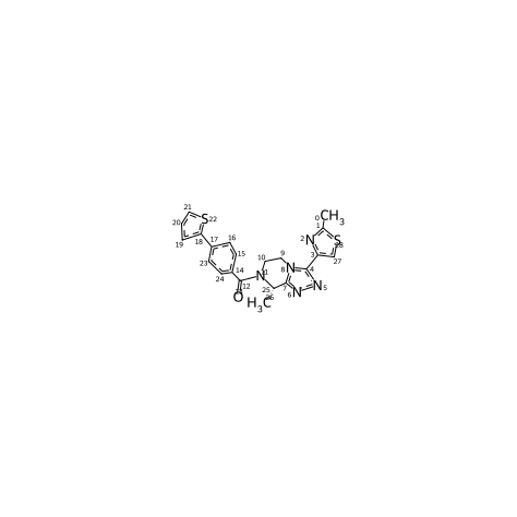 Cc1nc(-c2nnc3n2CCN(C(=O)c2ccc(-c4cccs4)cc2)[C@H]3C)cs1